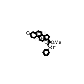 COC(C[S+]([O-])c1ccccc1)=C1CC[C@H]2[C@@H]3CCC4=CC(=O)CC[C@]4(C)[C@H]3CC[C@]12C